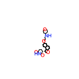 O=C1CC[C@H](c2coc3ccc4cc(OCCNC5CCOCC5)ccc4c23)C(=O)N1